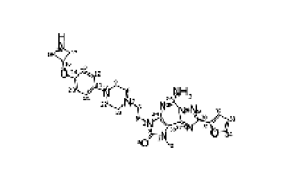 Cn1c(=O)n(CCN2CCN(c3ccc(OC4CNC4)cc3)CC2)c2nc(N)n3nc(-c4ccco4)nc3c21